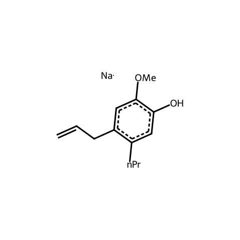 C=CCc1cc(OC)c(O)cc1CCC.[Na]